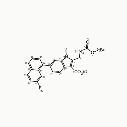 CCOC(=O)c1c(CNC(=O)OC(C)(C)C)n(C)c2cc(-c3cccc4ccc(F)cc34)ccc12